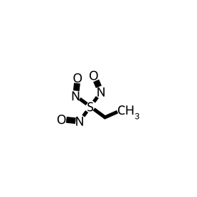 CCS(N=O)(N=O)N=O